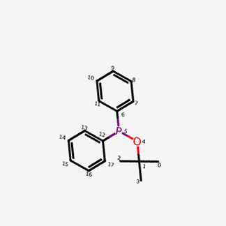 CC(C)(C)OP(c1ccccc1)c1ccccc1